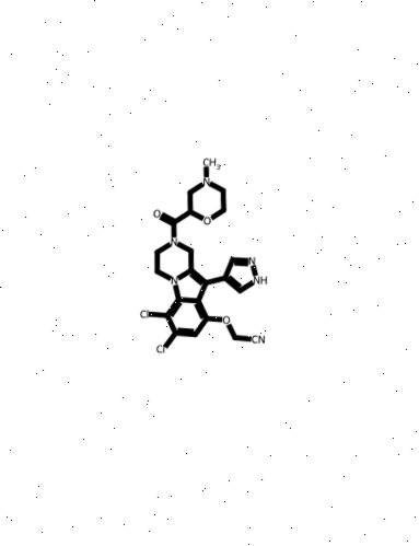 CN1CCOC(C(=O)N2CCn3c(c(-c4cn[nH]c4)c4c(OCC#N)cc(Cl)c(Cl)c43)C2)C1